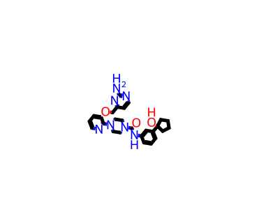 Nc1nccc(COc2cccnc2N2CCN(C(=O)Nc3cccc(C4(O)CCCC4)c3)CC2)n1